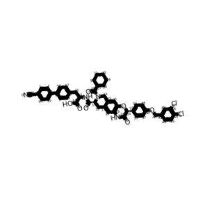 N#Cc1ccc(-c2ccc(CC(NC(=O)[C@@H]3Cc4cc5c(cc4CN3C(=O)C3CCCCC3)O[C@@H](c3ccc(OCc4ccc(Cl)c(Cl)c4)cc3)C(=O)N5)C(=O)O)cc2)cc1